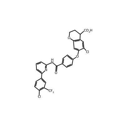 O=C(Nc1cccc(-c2ccc(Cl)c(C(F)(F)F)c2)n1)c1ccc(Oc2cc3c(cc2Cl)C(C(=O)O)CCO3)cc1